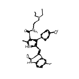 CCN(CC)CCNC(=O)c1c(C)[nH]c(/C=C2\C(=O)Nc3ccc(F)cc32)c1-c1ccc(Cl)cc1